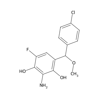 COC(c1ccc(Cl)cc1)c1cc(F)c(O)c(N)c1O